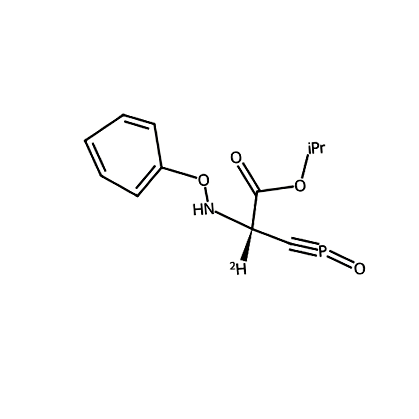 [2H][C@@](C#P=O)(NOc1ccccc1)C(=O)OC(C)C